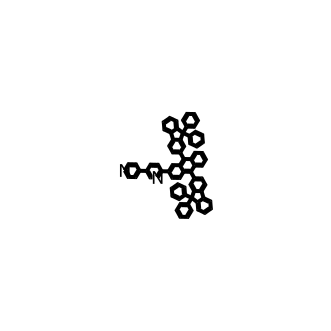 c1ccc(C2(c3ccccc3)c3ccccc3-c3ccc(-c4c5ccccc5c(-c5ccc6c(c5)C(c5ccccc5)(c5ccccc5)c5ccccc5-6)c5cc(-c6ccc(-c7ccncc7)cn6)ccc45)cc32)cc1